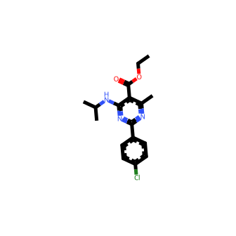 CCOC(=O)c1c(C)nc(-c2ccc(Cl)cc2)nc1NC(C)C